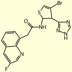 O=C(Cc1cccc2cc(F)cnc12)NC1SC=C(Br)C1c1nc[nH]n1